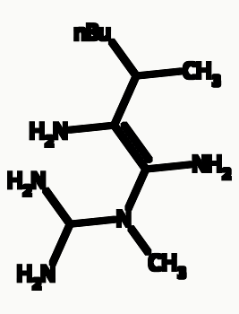 CCCCC(C)/C(N)=C(\N)N(C)C(N)N